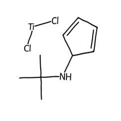 CC(C)(C)NC1C=CC=C1.[Cl][Ti][Cl]